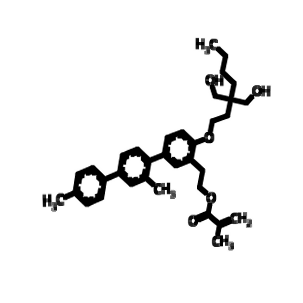 C=C(C)C(=O)OCCc1cc(-c2ccc(-c3ccc(C)cc3)cc2C)ccc1OCCC(CO)(CO)CCCC